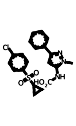 Cn1nc(-c2ccccc2)cc1NC(=O)O.O=S(=O)(c1ccc(Cl)cc1)C1CC1